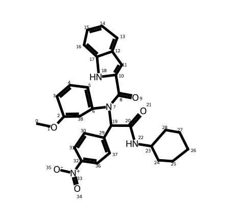 COc1cccc(N(C(=O)c2cc3ccccc3[nH]2)C(C(=O)NC2CCCCC2)c2ccc([N+](=O)[O-])cc2)c1